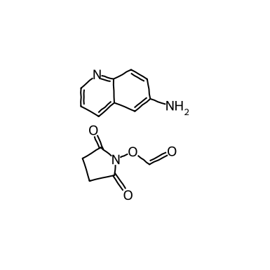 Nc1ccc2ncccc2c1.O=CON1C(=O)CCC1=O